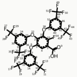 O=C(O)c1cc(Oc2cc(C(F)(F)F)cc(C(F)(F)F)c2)c(Oc2cc(C(F)(F)F)cc(C(F)(F)F)c2)c(Oc2cc(C(F)(F)F)cc(C(F)(F)F)c2)c1F